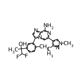 Cc1ccc(C(C)(O)C(F)F)cc1-c1cnc2c(N)nc(-c3cn(C)nc3C)cn12